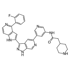 O=C(CC1CCNCC1)Nc1cncc(-c2cc3c(-c4cc5c(-c6ccccc6F)nccc5[nH]4)n[nH]c3cn2)c1